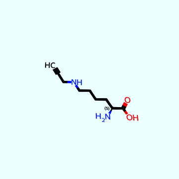 C#CCNCCCC[C@H](N)C(=O)O